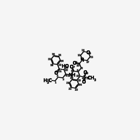 CCCCC(NC(=O)C(CC(=O)N1CCOCC1)C(c1ccccc1)S(C)(=O)=O)C(O)C(=O)c1ccccc1